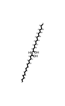 CCCCCCCCCCCCCCC(O)NC(O)CCCCCCCCCCCCCC